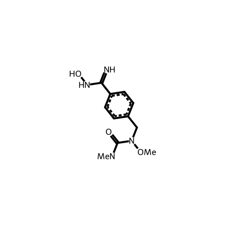 CNC(=O)N(Cc1ccc(C(=N)NO)cc1)OC